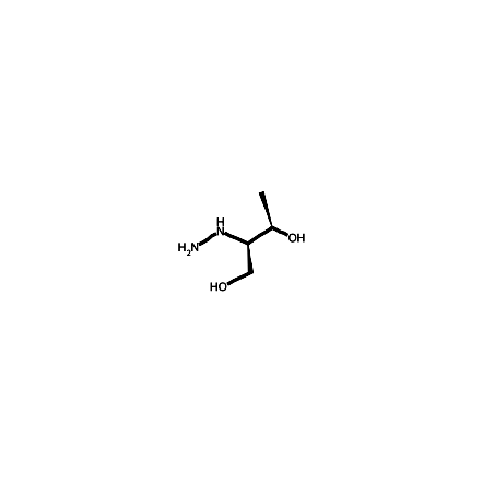 C[C@@H](O)[C@@H](CO)NN